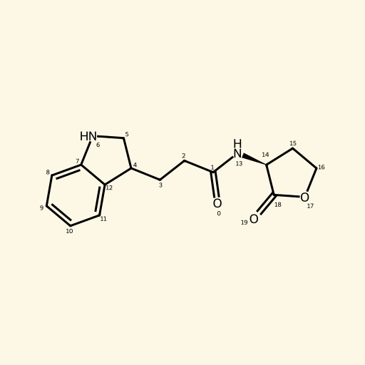 O=C(CCC1CNc2ccccc21)N[C@H]1CCOC1=O